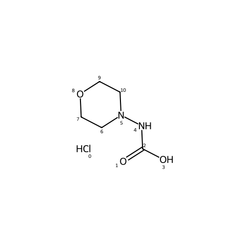 Cl.O=C(O)NN1CCOCC1